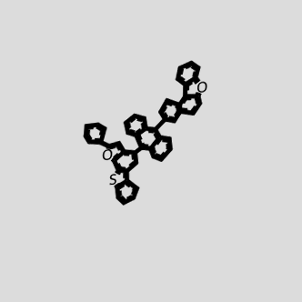 c1ccc(-c2cc3c(-c4c5ccccc5c(-c5ccc6c(ccc7oc8ccccc8c76)c5)c5ccccc45)cc4c5ccccc5sc4c3o2)cc1